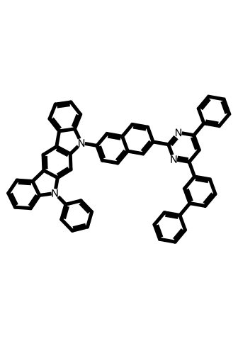 c1ccc(-c2cccc(-c3cc(-c4ccccc4)nc(-c4ccc5cc(-n6c7ccccc7c7cc8c9ccccc9n(-c9ccccc9)c8cc76)ccc5c4)n3)c2)cc1